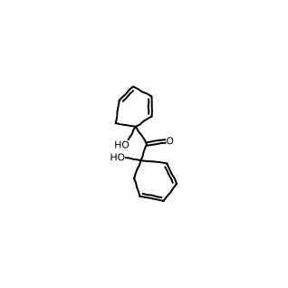 O=C(C1(O)C=CC=CC1)C1(O)C=CC=CC1